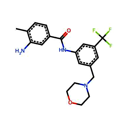 Cc1ccc(C(=O)Nc2cc(CN3CCOCC3)cc(C(F)(F)F)c2)cc1N